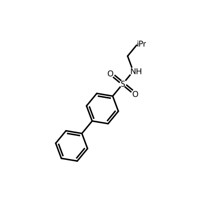 CC(C)CNS(=O)(=O)c1ccc(-c2ccccc2)cc1